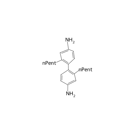 CCCCCc1cc(N)ccc1-c1ccc(N)cc1CCCCC